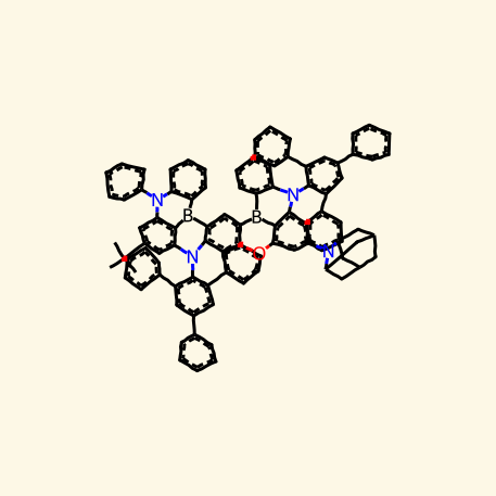 CC(C)(C)c1cc2c3c(c1)N(c1c(-c4ccccc4)cc(-c4ccccc4)cc1-c1ccccc1)c1cc4c(cc1B3c1ccccc1N2c1ccccc1)B1c2ccccc2N(c2c(-c3ccccc3)cc(-c3ccccc3)cc2-c2ccccc2)c2cc(N3C5CC6CC(C5)CC3C6)cc(c21)O4